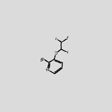 FC(F)C(F)Oc1cccnc1Br